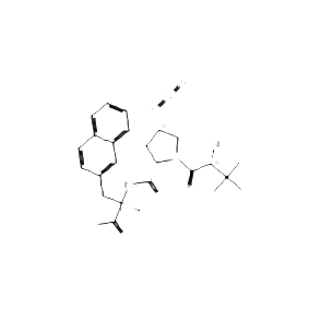 CC(C)(C)[C@H](N)C(=O)N1C[C@@H](N=[N+]=[N-])C[C@H]1C(=O)N[C@@](C)(Cc1ccc2ccccc2c1)C(=O)O